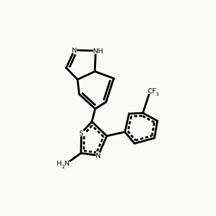 Nc1nc(-c2cccc(C(F)(F)F)c2)c(C2=CC3C=NNC3C=C2)s1